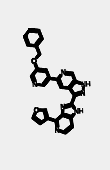 c1ccc(COc2cncc(-c3cc4c(-c5nc6c(-c7ccoc7)nccc6[nH]5)n[nH]c4cn3)c2)cc1